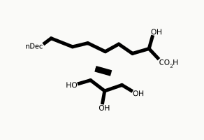 C=C.CCCCCCCCCCCCCCCCC(O)C(=O)O.OCC(O)CO